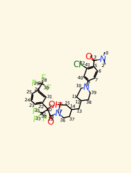 CN(C)C(=O)c1ccc(N2CCC(CC3CCN(C(=O)[C@@](O)(c4cccc(C(F)(F)F)c4)C(F)(F)F)CC3)CC2)cc1Cl